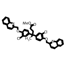 COC(=O)CCC(C)(c1ccc(OCc2ccc3ccccc3n2)c(Cl)c1)c1ccc(OCc2ccc3ccccc3n2)c(Cl)c1